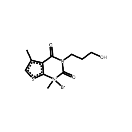 Cc1csc2c1C(=O)N(CCCO)C(=O)[N+]2(C)Br